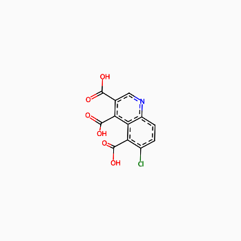 O=C(O)c1cnc2ccc(Cl)c(C(=O)O)c2c1C(=O)O